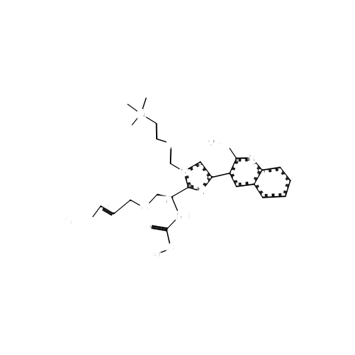 CCOC(=O)/C=C/COC[C@H](NC(=O)OC(C)(C)C)c1nc(-c2cc3ccccc3nc2OC)cn1COCC[Si](C)(C)C